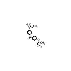 CCC(C)Oc1ccc([S+]([O-])c2ccc(OC(C)CC)cc2)cc1